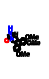 COc1ccc2c3c(c4cc(OC)c(OC)cc4c2c1)C[C@H]1CNCC(=O)N1C3